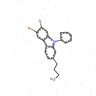 CCCCc1ccc2c3cc(Br)c(Br)cc3n(-c3ccccc3)c2c1